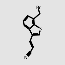 N#C/C=C/c1csc2c(CBr)cccc12